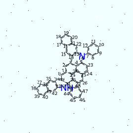 C1=c2ccc3c(N(c4ccccc4)c4ccc5ccccc5c4)ccc4ccc(c2c43)C(Nc2ccc3ccccc3c2)(c2ccccc2)C1